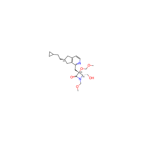 COCO[C@@]1(Cc2nccc3c2C[C@@H](CCC2CC2)C3)C(=O)N(COC)[C@H]1CO